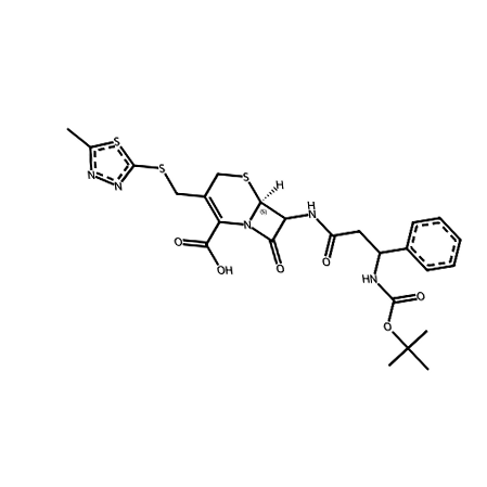 Cc1nnc(SCC2=C(C(=O)O)N3C(=O)C(NC(=O)CC(NC(=O)OC(C)(C)C)c4ccccc4)[C@@H]3SC2)s1